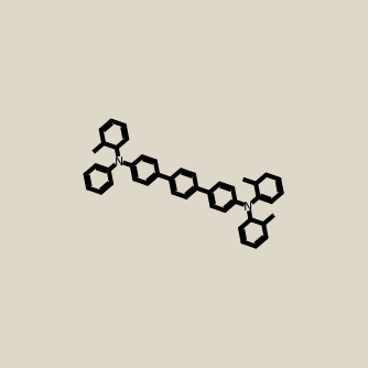 CC1CC=CC=C1N(c1ccc(-c2ccc(-c3ccc(N(c4ccccc4)C4C=CC=CC4C)cc3)cc2)cc1)C1C=CC=CC1C